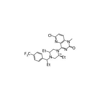 CCC1CN(c2nc(=O)n(C)c3ccc(Cl)nc23)[C@@H](CC)CN1C(CC)c1ccc(C(F)(F)F)cc1